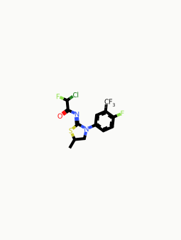 CC1CN(c2ccc(F)c(C(F)(F)F)c2)C(=NC(=O)C(F)Cl)S1